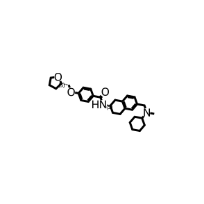 CN(Cc1ccc2c(c1)CC[C@H](NC(=O)c1ccc(OC[C@@H]3CCCO3)cc1)C2)C1CCCCC1